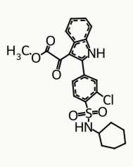 COC(=O)C(=O)c1c(-c2ccc(S(=O)(=O)NC3CCCCC3)c(Cl)c2)[nH]c2ccccc12